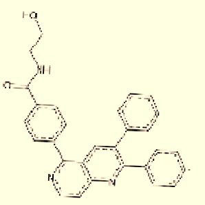 O=C(NCCO)c1ccc(-c2nccc3nc(-c4cc[c]cc4)c(-c4ccccc4)cc23)cc1